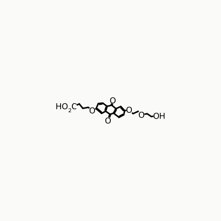 O=C(O)CCCOc1ccc2c(c1)C(=O)c1ccc(OCCOCCO)cc1C2=O